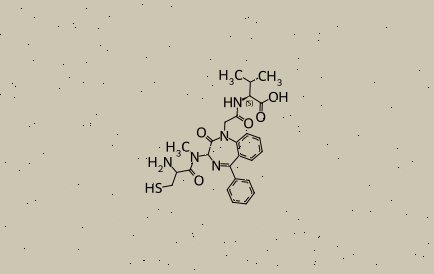 CC(C)[C@H](NC(=O)CN1C(=O)C(N(C)C(=O)C(N)CS)N=C(c2ccccc2)c2ccccc21)C(=O)O